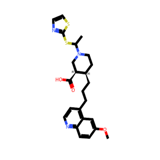 COc1ccc2nccc(CCC[C@@H]3CCN(C(C)Sc4nccs4)C[C@@H]3C(=O)O)c2c1